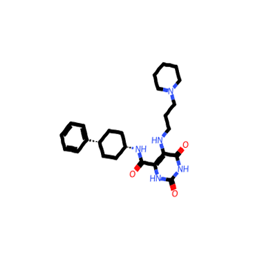 O=C(N[C@H]1CC[C@@H](c2ccccc2)CC1)c1[nH]c(=O)[nH]c(=O)c1NCCCN1CCCCC1